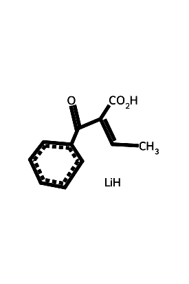 CC=C(C(=O)O)C(=O)c1ccccc1.[LiH]